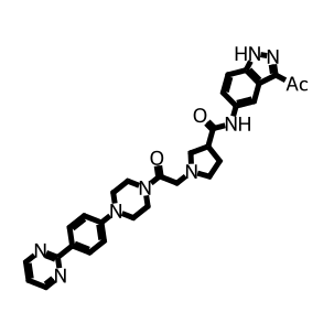 CC(=O)c1n[nH]c2ccc(NC(=O)C3CCN(CC(=O)N4CCN(c5ccc(-c6ncccn6)cc5)CC4)C3)cc12